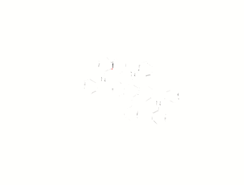 c1ccc(-c2c3cc(N(c4ccccc4)c4ccccc4)ccc3c(N(c3ccccc3)c3ccccc3)c3cc(N(c4ccccc4)c4ccccc4)ccc23)cc1